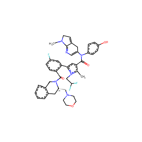 Cc1c(C(=O)N(C2=CN=C3C(=CCN3C)C2)c2ccc(O)cc2)cc(-c2cc(F)ccc2C(=O)N2Cc3ccccc3C[C@H]2CN2CCOCC2)n1CC(F)F